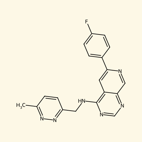 Cc1ccc(CNc2ncnc3cnc(-c4ccc(F)cc4)cc23)nn1